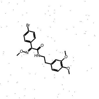 CON=C(C(=O)NCCc1ccc(OC)c(OC)c1)c1ccc(Br)cc1